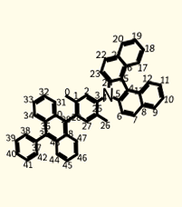 Cc1cc(-n2c3ccc4ccccc4c3c3c4ccccc4ccc32)c(C)cc1-c1c2ccccc2c(-c2ccccc2)c2ccccc12